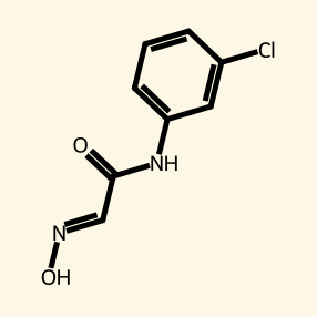 O=C(C=NO)Nc1cccc(Cl)c1